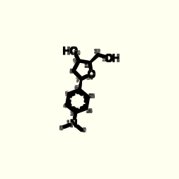 CN(C)c1ccc([C@H]2CC(O)[C@@H](CO)O2)cc1